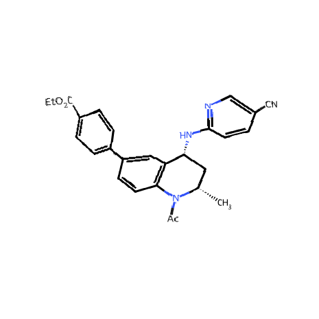 CCOC(=O)c1ccc(-c2ccc3c(c2)[C@H](Nc2ccc(C#N)cn2)C[C@H](C)N3C(C)=O)cc1